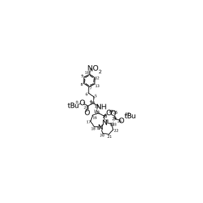 CC(C)(C)OC(=O)[C@@H](CCc1ccc([N+](=O)[O-])cc1)N[C@H]1CCCN2CCC[C@@H](C(=O)OC(C)(C)C)N2C1=O